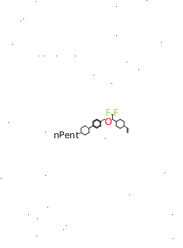 C=CC1CCC(C(OCc2ccc(C3CCC(CCCCC)CC3)cc2)C(F)F)CC1